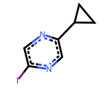 Ic1cnc(C2CC2)cn1